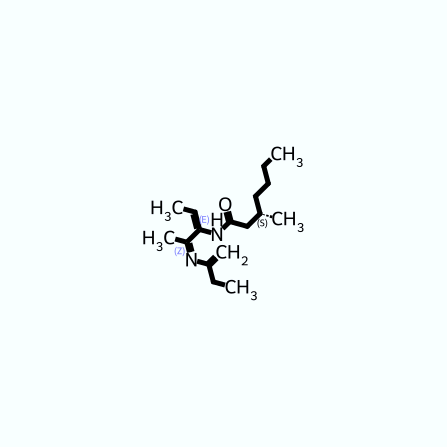 C=C(CC)/N=C(C)\C(=C/C)NC(=O)C[C@@H](C)CCCC